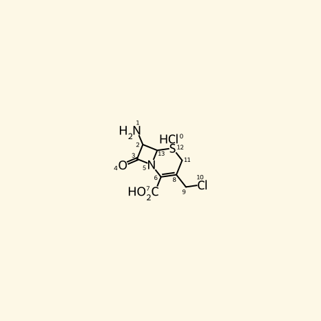 Cl.NC1C(=O)N2C(C(=O)O)=C(CCl)CSC12